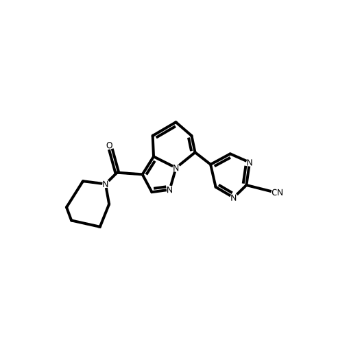 N#Cc1ncc(-c2cccc3c(C(=O)N4CCCCC4)cnn23)cn1